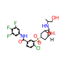 CC(CO)NC[C@@]1(O)C2C[C@@H](S(=O)(=O)c3cc(C(=O)Nc4cc(F)c(F)c(F)c4)ccc3Cl)C[C@@H]1[C@@H](C)C2